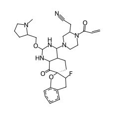 C=CC(=O)N1CCN(C2NC(OCC3CCCN3C)NC3C(=O)[C@]4(CCC32)Oc2ccccc2CC4F)CC1CC#N